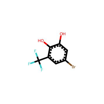 Oc1cc(Br)cc(C(F)(F)F)c1O